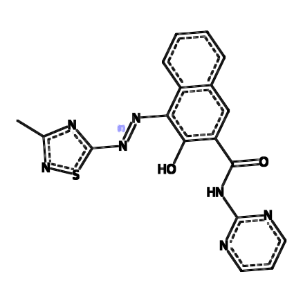 Cc1nsc(/N=N/c2c(O)c(C(=O)Nc3ncccn3)cc3ccccc23)n1